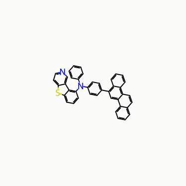 c1ccc(N(c2ccc(-c3cc4c5ccccc5ccc4c4ccccc34)cc2)c2cccc3sc4ccncc4c23)cc1